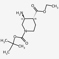 CCOC(=O)[C@@H]1CCN(C(=O)OC(C)(C)C)C[C@H]1N